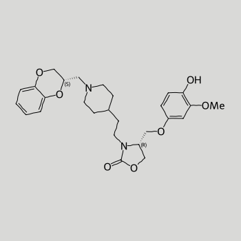 COc1cc(OC[C@@H]2COC(=O)N2CCC2CCN(C[C@H]3COc4ccccc4O3)CC2)ccc1O